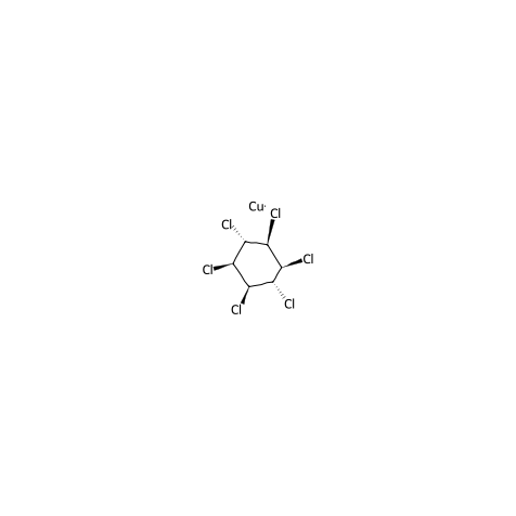 Cl[C@H]1[C@H](Cl)[C@@H](Cl)[C@@H](Cl)[C@H](Cl)[C@H]1Cl.[Cu]